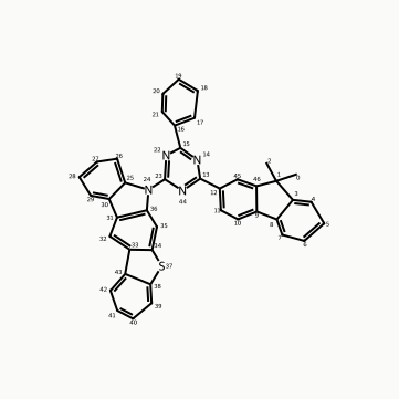 CC1(C)c2ccccc2-c2ccc(-c3nc(-c4ccccc4)nc(-n4c5ccccc5c5cc6c(cc54)sc4ccccc46)n3)cc21